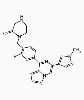 Cn1cc(-c2cn3nccc3c(-c3ccc(CN4CCNCC4=O)c(F)c3)n2)cn1